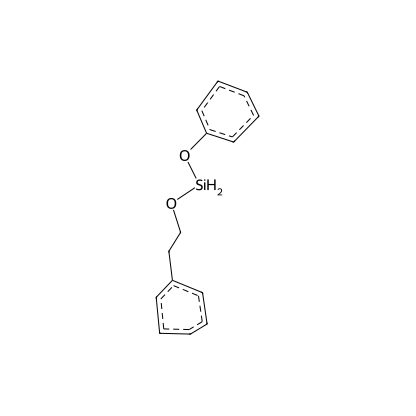 c1ccc(CCO[SiH2]Oc2ccccc2)cc1